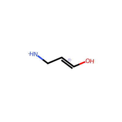 [NH]C/C=C/O